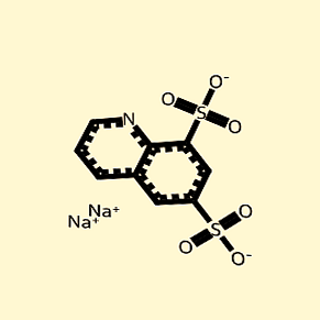 O=S(=O)([O-])c1cc(S(=O)(=O)[O-])c2ncccc2c1.[Na+].[Na+]